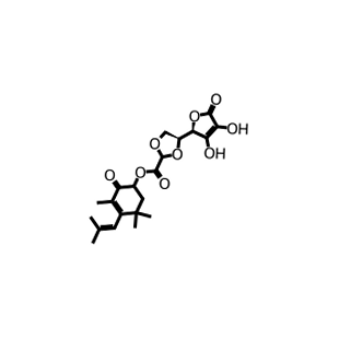 CC(C)=CC1=C(C)C(=O)C(OC(=O)C2OC[C@@H]([C@H]3OC(=O)C(O)=C3O)O2)CC1(C)C